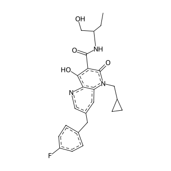 CCC(CO)NC(=O)c1c(O)c2ncc(Cc3ccc(F)cc3)cc2n(CC2CC2)c1=O